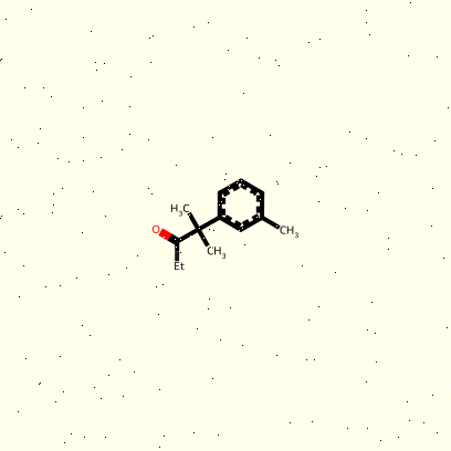 CCC(=O)C(C)(C)c1cccc(C)c1